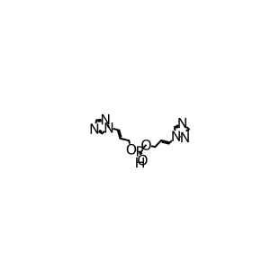 O=[PH](OCC=Cn1cncn1)OCC=Cn1cncn1